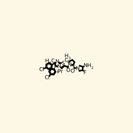 CC(C)C1=C(C(=O)N2[C@H](C)CC[C@H]2C(=O)N2CC(N)C(F)C2)SC2=N[C@@](C)(c3ccc(Cl)cc3)[C@@H](c3ccc(Cl)cc3)N21